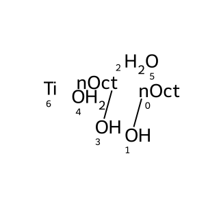 CCCCCCCCO.CCCCCCCCO.O.O.[Ti]